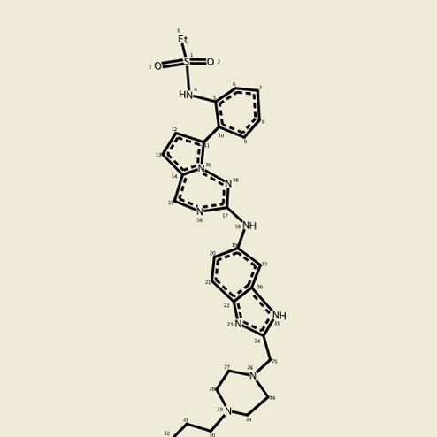 CCS(=O)(=O)Nc1ccccc1-c1ccc2cnc(Nc3ccc4nc(CN5CCN(CCO)CC5)[nH]c4c3)nn12